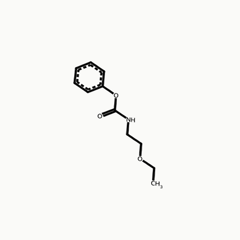 CCOCCNC(=O)Oc1ccccc1